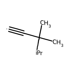 [C]#CC(C)(C)C(C)C